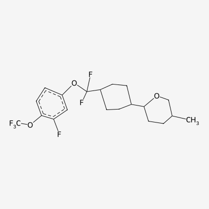 CC1CCC(C2CCC(C(F)(F)Oc3ccc(OC(F)(F)F)c(F)c3)CC2)OC1